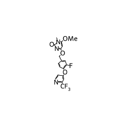 COc1cc(OCc2ccc(Oc3ccnc(C(F)(F)F)c3)c(F)c2)nc(=O)n1C